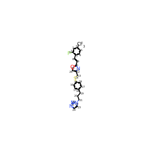 Fc1cc(C(F)(F)F)ccc1C=Cc1nc(CSc2ccc(CCCn3ccnn3)cc2)co1